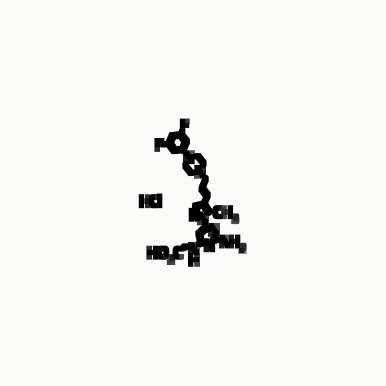 Cc1c(C=CCN2CCN(c3cc(F)cc(F)c3)CC2)cnn1-c1cc(NCC(=O)O)nc(N)n1.Cl